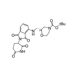 CC(C)(C)OC(=O)N1CCO[C@H](CNc2cccc3c2C(=O)N(C2CCC(=O)NC2=O)C3=O)C1